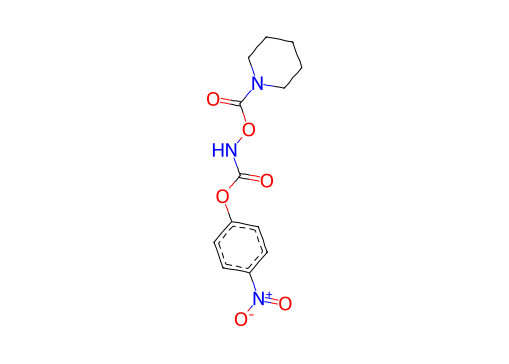 O=C(NOC(=O)N1CCCCC1)Oc1ccc([N+](=O)[O-])cc1